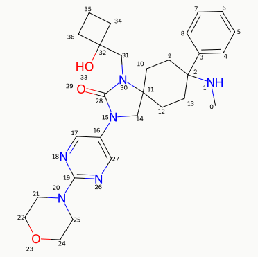 CNC1(c2ccccc2)CCC2(CC1)CN(c1cnc(N3CCOCC3)nc1)C(=O)N2CC1(O)CCC1